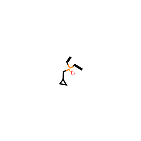 C=CP(=O)(C=C)CC1CC1